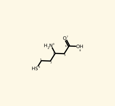 NC(CCS)CC(=O)O